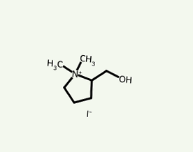 C[N+]1(C)CCCC1CO.[I-]